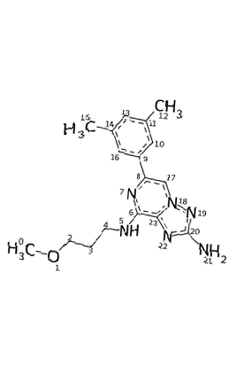 COCCCNc1nc(-c2cc(C)cc(C)c2)cn2nc(N)nc12